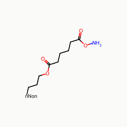 CCCCCCCCCCCCOC(=O)CCCCC(=O)ON